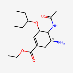 CCOC(=O)C1=CC(OC(CC)CC)C(NC(C)=O)[C@@H](N)C1